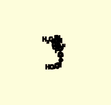 CCOC(=O)[C@@H](c1ncn2c1CCC2)N1Cc2c(F)cc(-c3ccc(C45CC(CN6CCC(CO)CC6)(C4)C5)cc3)c(F)c2C1=O